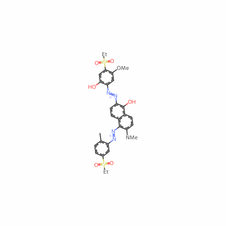 CCS(=O)(=O)c1ccc(C)c(/N=N/c2c(NC)ccc3c(O)c(/N=N/c4cc(OC)c(S(=O)(=O)CC)cc4O)ccc23)c1